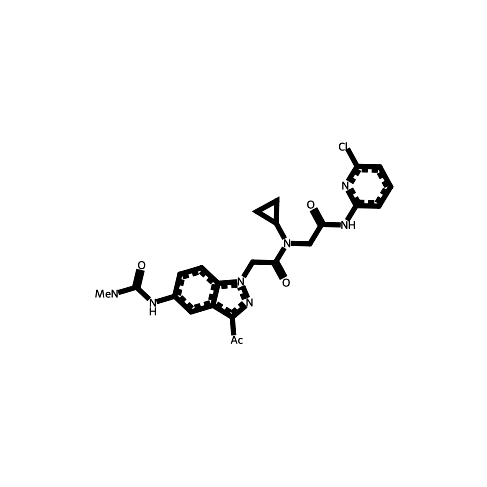 CNC(=O)Nc1ccc2c(c1)c(C(C)=O)nn2CC(=O)N(CC(=O)Nc1cccc(Cl)n1)C1CC1